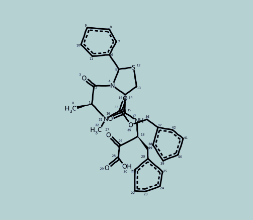 C[C@@H](C(=O)N1C(c2ccccc2)SC[C@H]1C(=O)N[C@@H](Cc1ccccc1)C(=O)C(=O)O)N(C)C(=O)OCc1ccccc1